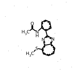 CSc1ccccc2nc(-c3ccccc3NC(C)=O)nc1-2